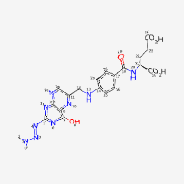 CN(C)/N=N/c1nc(O)c2nc(CNc3ccc(C(=O)N[C@@H](CCC(=O)O)C(=O)O)cc3)cnc2n1